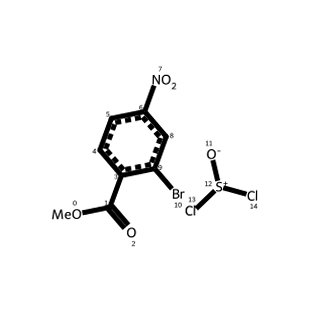 COC(=O)c1ccc([N+](=O)[O-])cc1Br.[O-][S+](Cl)Cl